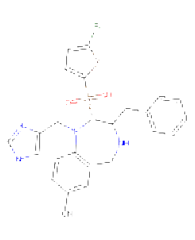 N#Cc1ccc2c(c1)CNC(Cc1ccccc1)[C@@H](S(=O)(=O)c1ccc(Br)s1)N2Cc1c[nH]cn1